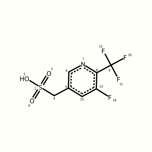 O=S(=O)(O)Cc1cnc(C(F)(F)F)c(F)c1